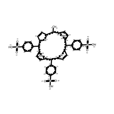 Cc1c2nc(c(-c3ccc(S(=O)(=O)O)cc3)c3ccc([nH]3)c(-c3ccc(S(=O)(=O)O)cc3)c3nc(c(-c4ccc(S(=O)(=O)O)cc4)c4ccc1[nH]4)C=C3)C=C2